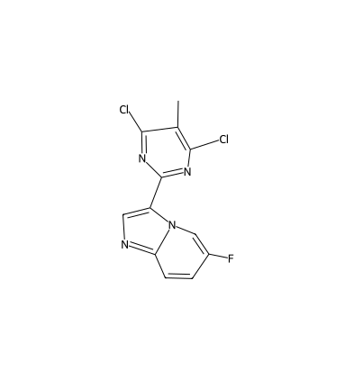 Cc1c(Cl)nc(-c2cnc3ccc(F)cn23)nc1Cl